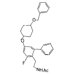 CC(=O)NCCc1c(F)cc(OC2CCC(OCc3ccccc3)CC2)cc1-c1ccccc1